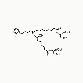 CCCCCCCCC(CCCCCCCC)OC(=O)CCCCCCCN(CCCCn1ccnc1C)CC(O)CCCCCC(=O)OC(CCCCCCCC)CCCCCCCC